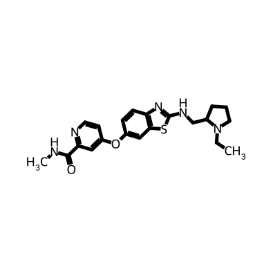 CCN1CCCC1CNc1nc2ccc(Oc3ccnc(C(=O)NC)c3)cc2s1